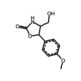 COc1ccc(C2OC(=O)NC2CO)cc1